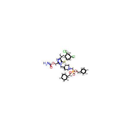 CC(C)c1nc(COC(N)=O)n(CC2=CCN(CP(=O)(OCc3ccccc3)OCc3ccccc3)CC2)c1Sc1cc(Cl)cc(Cl)c1